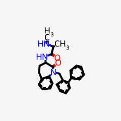 CNC(C)C(=O)NC1CCc2ccccc2N(Cc2ccccc2-c2ccccc2)C1=O